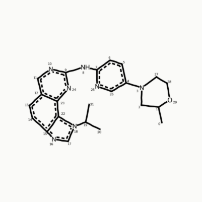 CC1CN(c2ccc(Nc3ncc4ccc5ncn(C(C)C)c5c4n3)nc2)CCO1